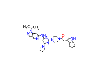 CC(C)n1ncc2cnc(Nc3cc(N4CCCC4)nc(N4CCN(C(=O)Cc5c[nH]c6ccccc56)CC4)n3)cc21